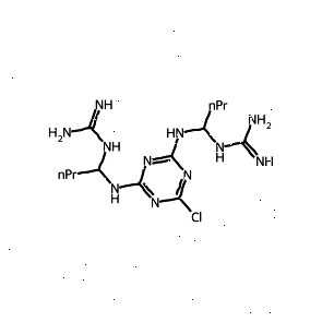 CCCC(NC(=N)N)Nc1nc(Cl)nc(NC(CCC)NC(=N)N)n1